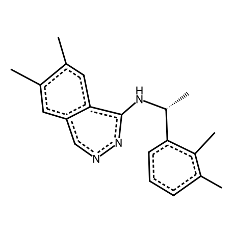 Cc1cc2cnnc(N[C@H](C)c3cccc(C)c3C)c2cc1C